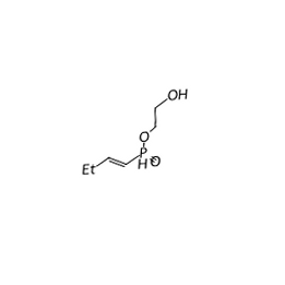 CCC=C[PH](=O)OCCO